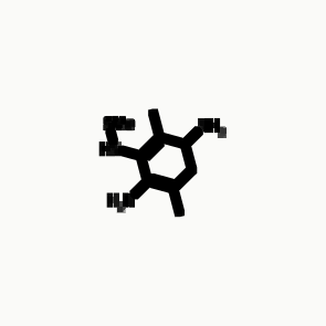 CSNC1=C(C)C(N)CC(C)=C1N